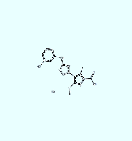 Br.CSc1sc(C(=O)O)c(C)c1-c1csc(Nc2cccc(O)c2)n1